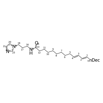 CCCCCCCCCCC=CC=CCCCCCCCCC(=O)NCCCn1ccnc1